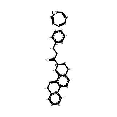 C1=CC=CNC=C1.O=C(CCc1ccccc1)C1C=c2c(ccc3c2=CCc2ccccc2-3)CC1